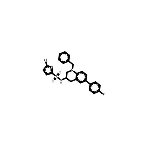 O=S(=O)(NC1Cc2cc(-c3ccc(F)cc3)ccc2N(Cc2ccccc2)C1)c1ccc(Cl)s1